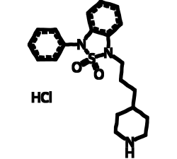 Cl.O=S1(=O)N(CCCC2CCNCC2)c2ccccc2N1c1ccccc1